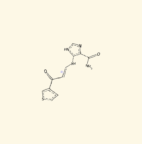 NC(=O)c1nc[nH]c1N/C=C/C(=O)c1ccsc1